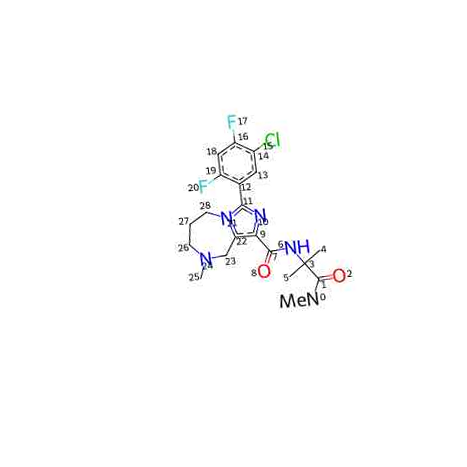 CNC(=O)C(C)(C)NC(=O)c1nc(-c2cc(Cl)c(F)cc2F)n2c1CN(C)CCC2